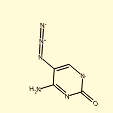 [N-]=[N+]=NC1=C[N]C(=O)N=C1N